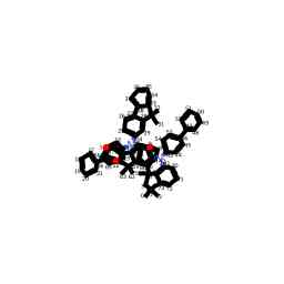 CC1(C)CC(C)(c2cccc(N(c3ccc(-c4ccccc4)cc3)c3ccc4c(c3)C(C)(C)c3ccccc3-4)c2)c2c(N(c3ccc(-c4ccccc4)cc3)c3ccc4c(c3)C(C)(C)c3ccccc3-4)cccc21